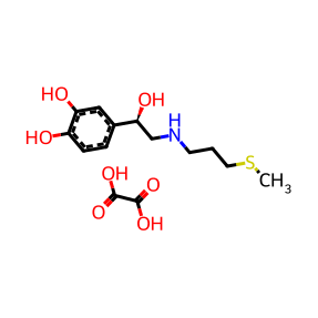 CSCCCNC[C@H](O)c1ccc(O)c(O)c1.O=C(O)C(=O)O